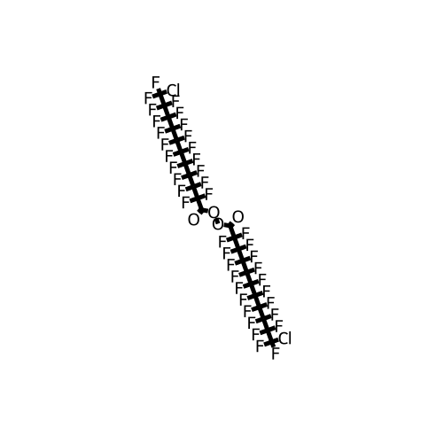 O=C(OOC(=O)C(F)(F)C(F)(F)C(F)(F)C(F)(F)C(F)(F)C(F)(F)C(F)(F)C(F)(F)C(F)(F)C(F)(F)Cl)C(F)(F)C(F)(F)C(F)(F)C(F)(F)C(F)(F)C(F)(F)C(F)(F)C(F)(F)C(F)(F)C(F)(F)Cl